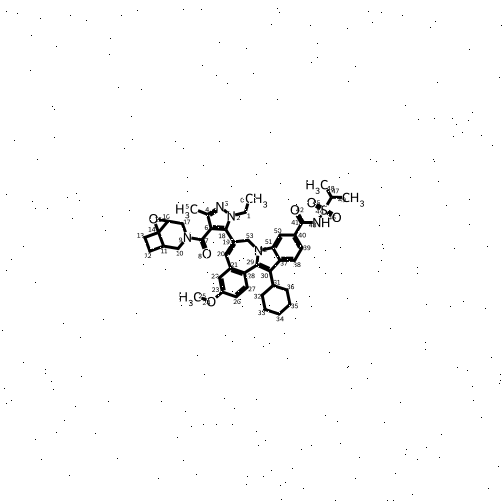 CCn1nc(C)c(C(=O)N2CC3CCC34OC4C2)c1C1=Cc2cc(OC)ccc2-c2c(C3CCCCC3)c3ccc(C(=O)NS(=O)(=O)C(C)C)cc3n2C1